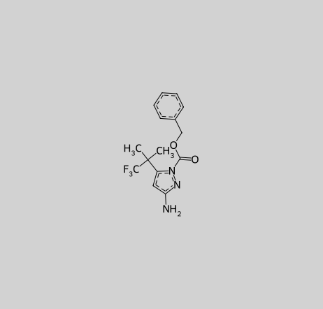 CC(C)(c1cc(N)nn1C(=O)OCc1ccccc1)C(F)(F)F